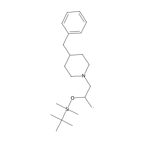 [CH2]C(CN1CCC(Cc2ccccc2)CC1)O[Si](C)(C)C(C)(C)C